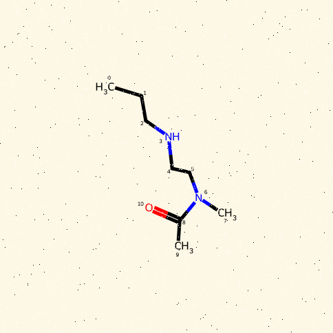 CCCNCCN(C)C(C)=O